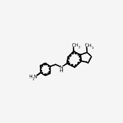 Cc1cc(NCc2ccc(N)cc2)cc2c1C(C)CC2